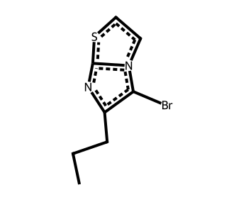 CCCc1nc2sccn2c1Br